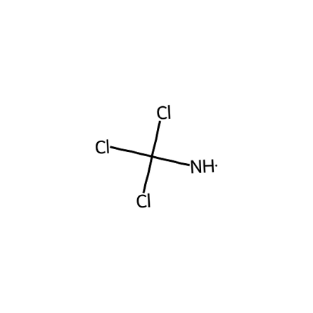 [NH]C(Cl)(Cl)Cl